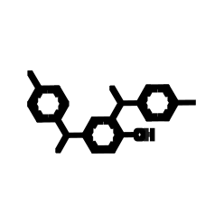 Cc1ccc(C(C)c2ccc(O)c(C(C)c3ccc(C)cc3)c2)cc1